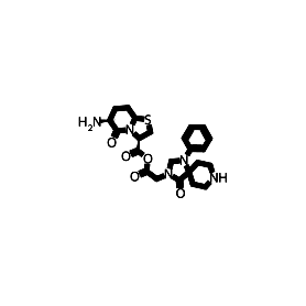 N[C@H]1CCC2SC[C@@H](C(=O)OC(=O)CN3CN(c4ccccc4)C4(CCNCC4)C3=O)N2C1=O